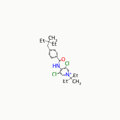 CCC(C)(CC)Cc1ccc(C(=O)Nc2c(Cl)c[n+](C(C)(CC)CC)cc2Cl)cc1